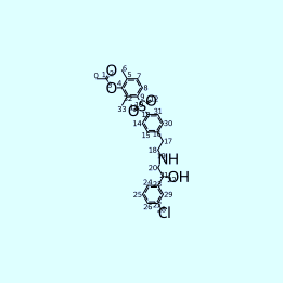 CC(=O)Oc1c(C)ccc(S(=O)(=O)c2ccc(CCNC[C@@H](O)c3cccc(Cl)c3)cc2)c1C